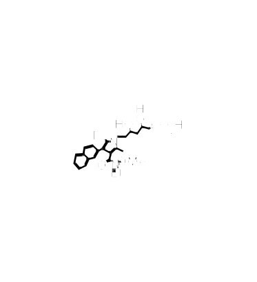 CCc1c(-c2ccc3ccccc3c2)c(C(=O)N(CC)OC)c(C)n1CC[C@@H](O)C[C@@H](O)CC(=O)O